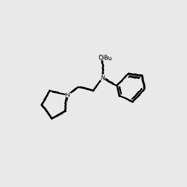 CC(C)CON(CCN1CCCC1)c1ccccc1